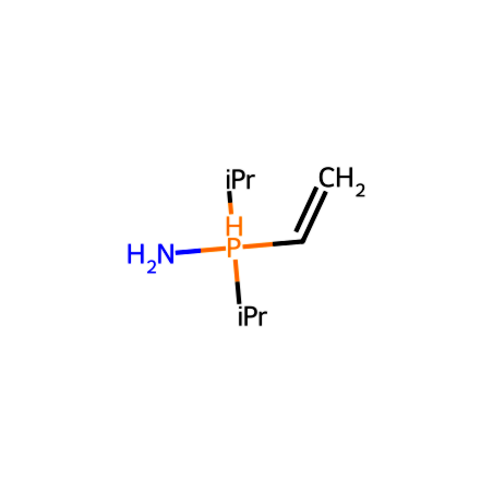 C=C[PH](N)(C(C)C)C(C)C